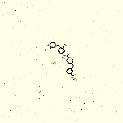 Cc1cc(N(C)C(=O)[C@H]2CC[C@H](Oc3cccc(S(C)(=O)=O)c3)CC2)ccc1CN1CCN[C@@H](C)C1.Cl